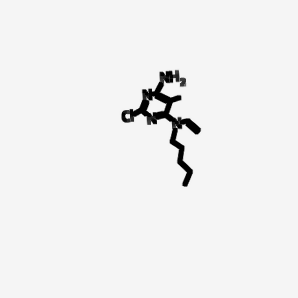 C=CN(CCCCC)c1nc(Cl)nc(N)c1C